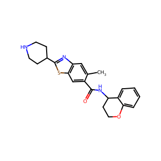 Cc1cc2nc(C3CCNCC3)sc2cc1C(=O)NC1CCOc2ccccc21